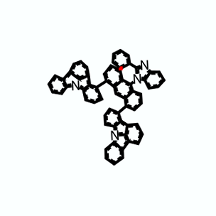 c1ccc(-c2nc3ccccc3n2-c2c3cccc(-c4cccc5c4c4cccc6c7ccccc7n5c64)c3cc3c(-c4cccc5c4c4cccc6c7ccccc7n5c64)cccc23)cc1